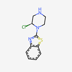 Cl[C@H]1CNCCN1c1nc2ccccc2s1